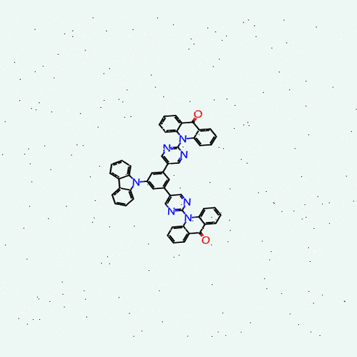 O=c1c2ccccc2n(-c2ncc(-c3cc(-c4cnc(-n5c6ccccc6c(=O)c6ccccc65)nc4)cc(-n4c5ccccc5c5ccccc54)c3)cn2)c2ccccc12